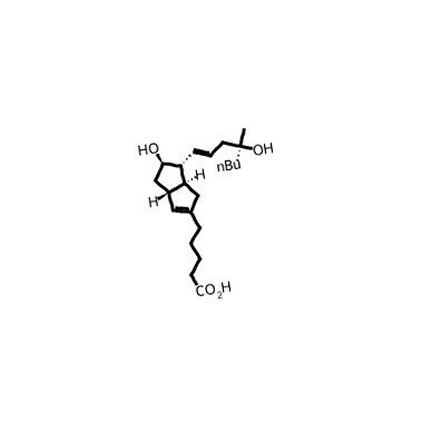 CCCC[C@](C)(O)CC=C[C@@H]1[C@H]2CC(CCCCC(=O)O)=C[C@@H]2C[C@H]1O